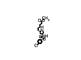 COC(=O)CCC/C=C\[C@@H]1C[C@@H](NS(=O)(=O)c2ccc(Cl)cc2)CN1